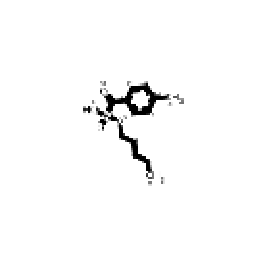 CCCCCOP(=O)(O)C(=O)c1ccc(C)cc1